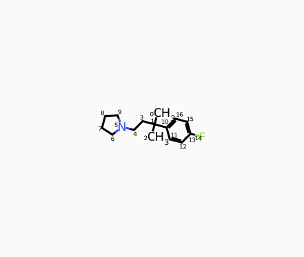 CC(C)(CCN1CCCC1)c1ccc(F)cc1